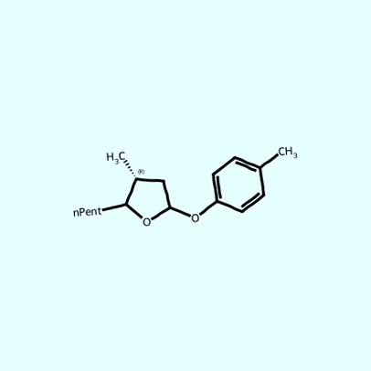 CCCCCC1OC(Oc2ccc(C)cc2)C[C@H]1C